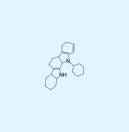 C1=CC2=C(CC1)C1CCC3=C(NC4CCCCC34)C1N2C1CCCCC1